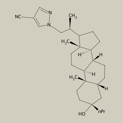 CCC[C@@]1(O)CC[C@@]2(C)[C@H](CC[C@@H]3[C@@H]2CC[C@]2(C)C([C@H](C)Cn4cc(C#N)cn4)CC[C@@H]32)C1